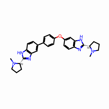 CN1CCC[C@H]1c1nc2cc(-c3ccc(Oc4ccc5nc([C@@H]6CCCN6C)[nH]c5c4)cc3)ccc2[nH]1